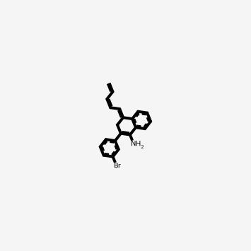 C=C/C=C\C=C1/CC(c2cccc(Br)c2)=C(N)c2ccccc21